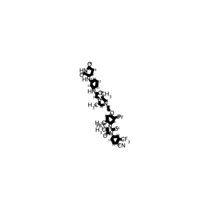 CC1=CN(CCOc2cc(C)c(N3C(=S)N(c4ccc(C#N)c(C(F)(F)F)c4)C(=O)C3(C)C)cc2C(C)C)C[C@H](C)N1CC(=O)Nc1cccc(NC2CCC(=O)NC2=O)c1